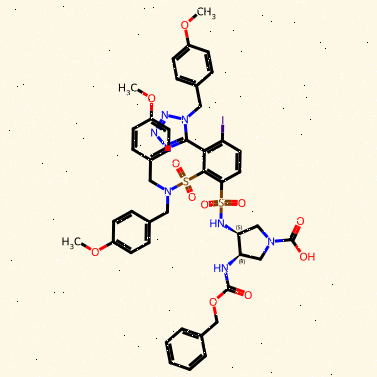 COc1ccc(CN(Cc2ccc(OC)cc2)S(=O)(=O)c2c(S(=O)(=O)N[C@H]3CN(C(=O)O)C[C@H]3NC(=O)OCc3ccccc3)ccc(I)c2-c2nnnn2Cc2ccc(OC)cc2)cc1